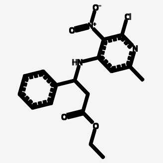 CCOC(=O)CC(Nc1cc(C)nc(Cl)c1[N+](=O)[O-])c1ccccc1